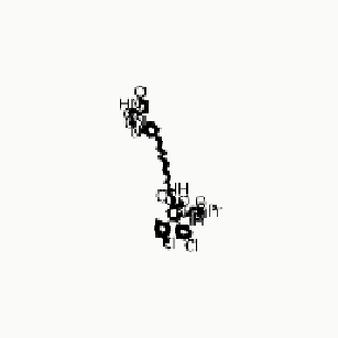 CC(C)[C@@H](CS(=O)(=O)C(C)C)N1C(=O)[C@@](C)(CC(=O)NCCCCCCCCc2ccc3c(c2)n(C)c(=O)n3C2CCC(=O)NC2=O)C[C@H](c2cccc(Cl)c2)[C@H]1c1ccc(Cl)cc1